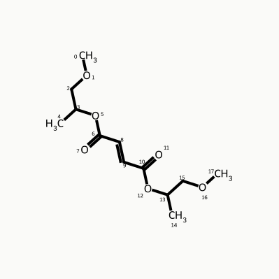 COCC(C)OC(=O)C=CC(=O)OC(C)COC